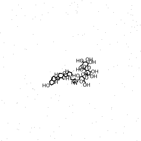 CC1=C2C[C@H]3[C@@H](CC=C4C[C@@H](O)CC[C@@]43C)[C@@H]2CC[C@]12O[C@@H]1C[C@H](C)CN(Cc3cn([C@@H]4OC(CO)[C@@H](O[C@@H]5OC(CO)[C@@H](O[C@@H]6OC(CO)[C@@H](O)C(O)[C@@H]6O)C(O)[C@@H]5O)C(O)[C@@H]4O)nn3)[C@H]1[C@H]2C